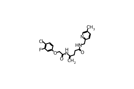 C=C(CCC(=O)NCc1ccc(C)cn1)NC(=O)COc1ccc(Cl)c(F)c1